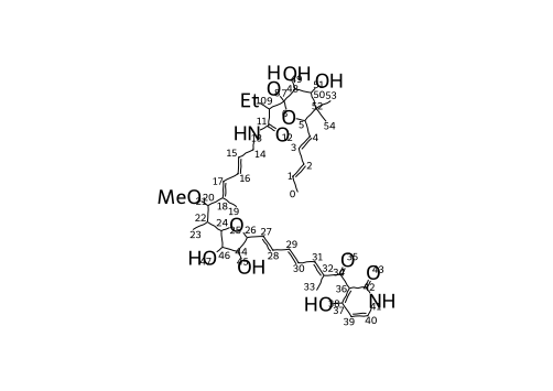 C/C=C/C=C/C1OC(O)(C(CC)C(=O)NC/C=C/C=C(\C)C(OC)C(C)C2OC(/C=C/C=C/C=C(\C)C(=O)c3c(O)cc[nH]c3=O)C(O)C2O)C(O)C(O)C1(C)C